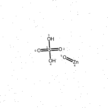 O=S(=O)(O)O.[O]=[Zn]